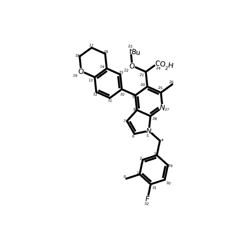 Cc1cc(Cn2ccc3c(-c4ccc5c(c4)CCCO5)c(C(OC(C)(C)C)C(=O)O)c(C)nc32)ccc1F